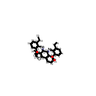 CCc1cccc(CC)c1/N=C1/C(=N/c2c(CC)cccc2CC)c2c(C)coc2-c2ccccc21